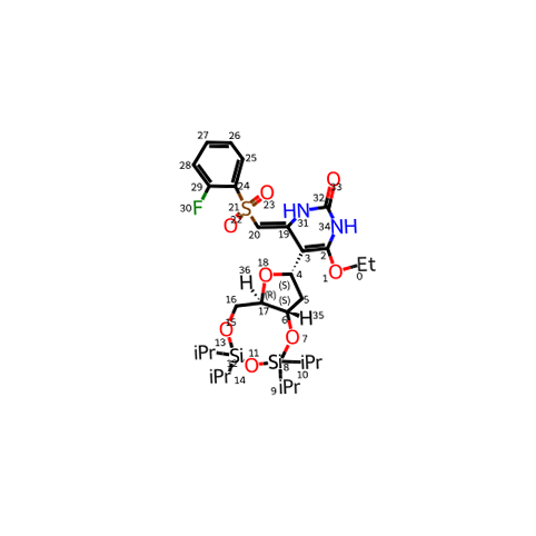 CCOC1=C([C@@H]2C[C@@H]3O[Si](C(C)C)(C(C)C)O[Si](C(C)C)(C(C)C)OC[C@H]3O2)C(=CS(=O)(=O)c2ccccc2F)NC(=O)N1